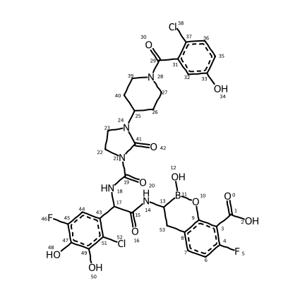 O=C(O)c1c(F)ccc2c1OB(O)C(NC(=O)C(NC(=O)N1CCN(C3CCN(C(=O)c4cc(O)ccc4Cl)CC3)C1=O)c1cc(F)c(O)c(O)c1Cl)C2